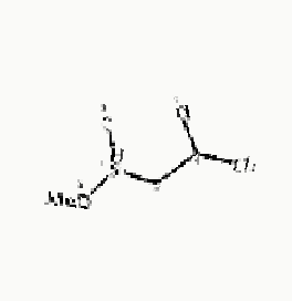 CO[SiH](Cl)CC(Cl)Cl